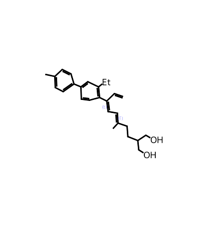 C=C/C(=C\C=C(/C)CCC(CO)CO)c1ccc(-c2ccc(C)cc2)cc1CC